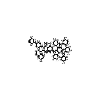 N=C(c1ccc(-n2c3ccccc3c3c4c(c5ccccc5n4-c4ccccc4)c4c(c5ccccc5n4-c4ccccc4)c32)cc1)N(C(=N)c1cccc2ccccc12)c1ccc(-c2ccccc2)cc1